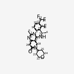 Cc1nc(N[C@H](C)c2cccc(C(F)F)c2F)c2cn(C3CCOCC3)c(=O)cc2n1